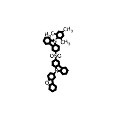 Cc1cc(C)c(-n2c3ccccc3c3cc(S(=O)(=O)c4ccc5c(c4)c4ccccc4n5-c4ccc5oc6ccccc6c5c4)ccc32)c(C)c1